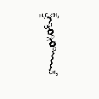 C=CCCCCCCCCOc1ccc(C(=O)Oc2ccc(C(=O)OCC[C@@H](C)CC)cc2)cc1